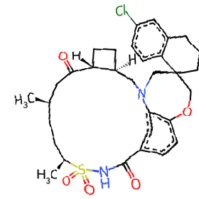 C[C@@H]1CC[C@H](C)S(=O)(=O)NC(=O)c2ccc3c(c2)N(C[C@@H]2CC[C@H]2C(=O)C1)C[C@@]1(CCCc2cc(Cl)ccc21)CO3